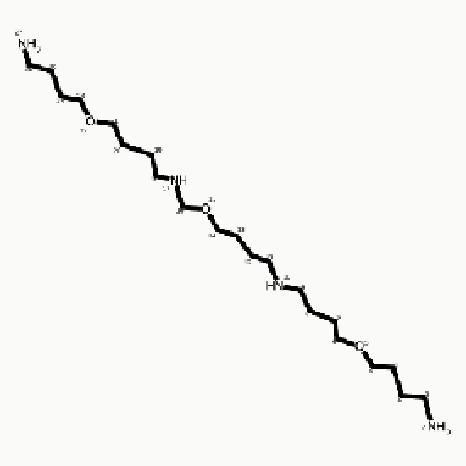 NCCCCOCCCCNCCCCOCNCCCCOCCCCN